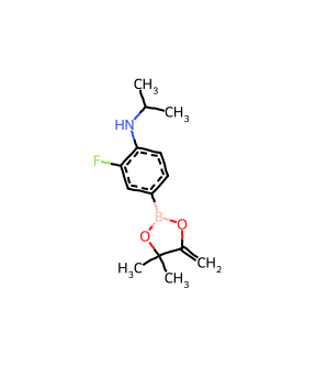 C=C1OB(c2ccc(NC(C)C)c(F)c2)OC1(C)C